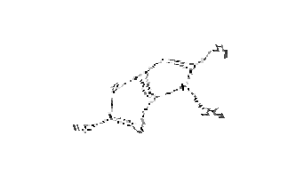 Cc1cc2c(cc(C)n2C)o1